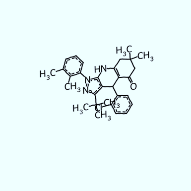 Cc1cccc(-n2nc(C(C)(C)C)c3c2NC2=C(C(=O)CC(C)(C)C2)C3c2ccccc2Cl)c1C